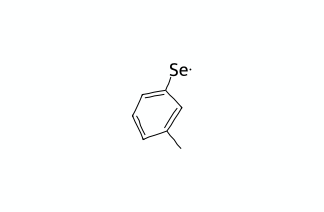 Cc1cccc([Se])c1